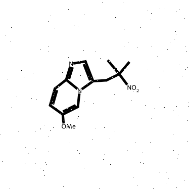 COc1ccc2ncc(CC(C)(C)[N+](=O)[O-])n2c1